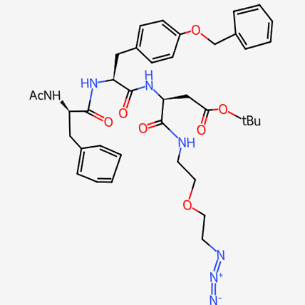 CC(=O)N[C@H](Cc1ccccc1)C(=O)N[C@@H](Cc1ccc(OCc2ccccc2)cc1)C(=O)N[C@@H](CC(=O)OC(C)(C)C)C(=O)NCCOCCN=[N+]=[N-]